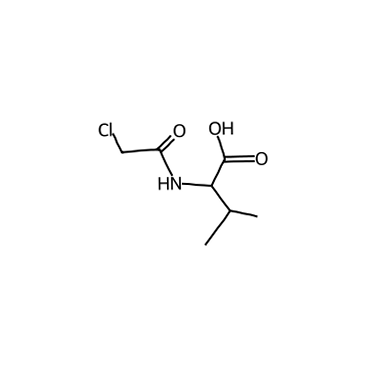 CC(C)C(NC(=O)CCl)C(=O)O